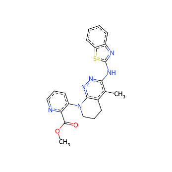 COC(=O)c1ncccc1N1CCCc2c1nnc(Nc1nc3ccccc3s1)c2C